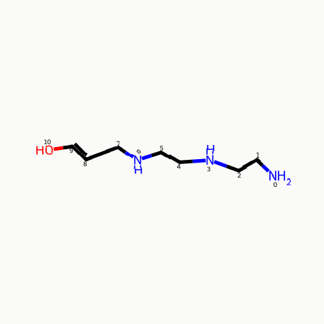 NCCNCCNCC=CO